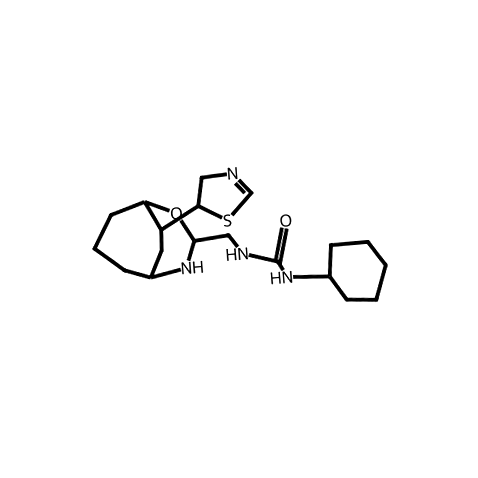 O=C(NCC1NC2CCCC(O1)C(C1CN=CS1)C2)NC1CCCCC1